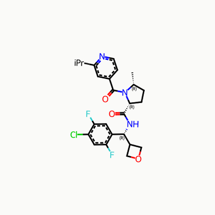 CC(C)c1cc(C(=O)N2[C@H](C)CC[C@@H]2C(=O)N[C@@H](c2cc(F)c(Cl)cc2F)C2COC2)ccn1